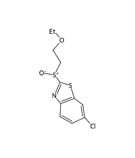 CCOCC[S+]([O-])c1nc2ccc(Cl)cc2s1